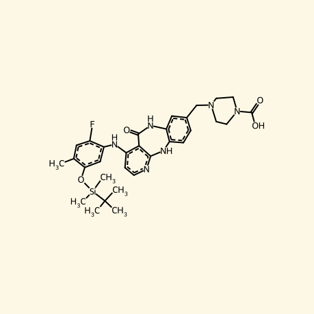 Cc1cc(F)c(Nc2ccnc3c2C(=O)Nc2cc(CN4CCN(C(=O)O)CC4)ccc2N3)cc1O[Si](C)(C)C(C)(C)C